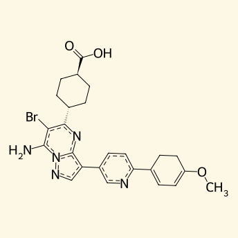 COC1=CC=C(c2ccc(-c3cnn4c(N)c(Br)c([C@H]5CC[C@H](C(=O)O)CC5)nc34)cn2)CC1